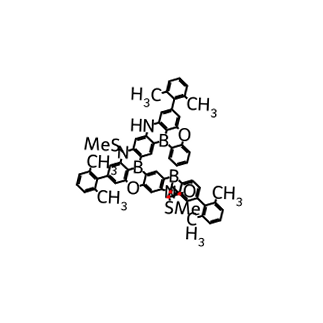 CSN1c2cc3c(cc2B2c4cc5c(cc4Oc4cc(-c6c(C)cccc6C)cc1c42)N(SC)c1cc(-c2c(C)cccc2C)cc2c1B5c1ccccc1O2)B1c2ccccc2Oc2cc(-c4c(C)cccc4C)cc(c21)N3